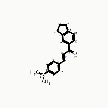 CN(C)c1ccc(/C=C/C(=O)c2ccc3c(c2)CCC3)cc1